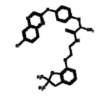 CC(Oc1ccc(Oc2cnc3cc(Cl)ccc3n2)cc1)C(=O)NCCOc1cccc2c1OC(C)(C)C2